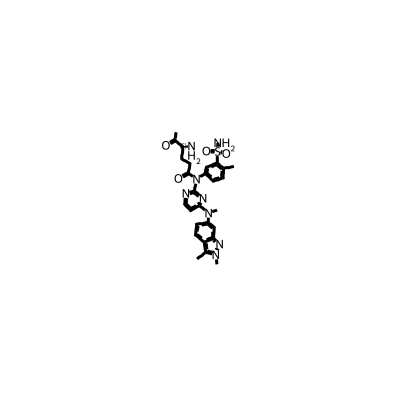 CC(=O)[C@@H](N)CCC(=O)N(c1ccc(C)c(S(N)(=O)=O)c1)c1nccc(N(C)c2ccc3c(C)n(C)nc3c2)n1